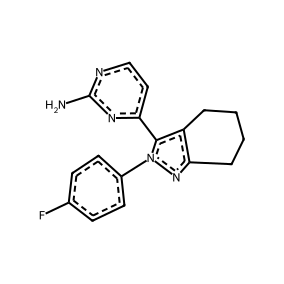 Nc1nccc(-c2c3c(nn2-c2ccc(F)cc2)CCCC3)n1